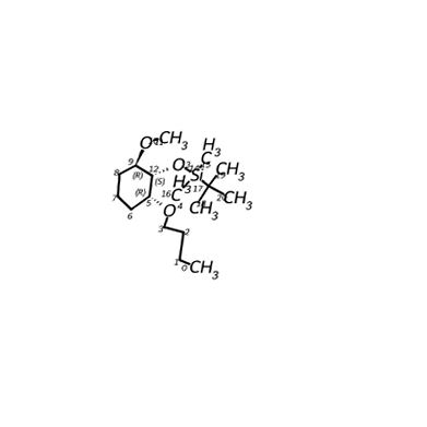 CCCCO[C@@H]1CCC[C@@H](OC)[C@@H]1O[Si](C)(C)C(C)(C)C